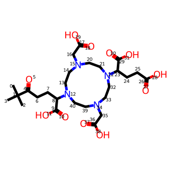 CC(C)(C)C(=O)CCC(C(=O)O)N1CCN(CC(=O)O)CCN(C(CCC(=O)O)C(=O)O)CCN(CC(=O)O)CC1